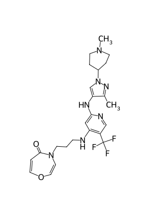 Cc1nn(C2CCN(C)CC2)cc1Nc1cc(NCCCN2C=COC=CC2=O)c(C(F)(F)F)cn1